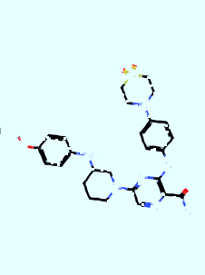 COc1ccc(NC2CCCN(c3cnc(C(N)=O)c(Nc4ccc(N5CCS(=O)(=O)CC5)cc4)n3)C2)cc1